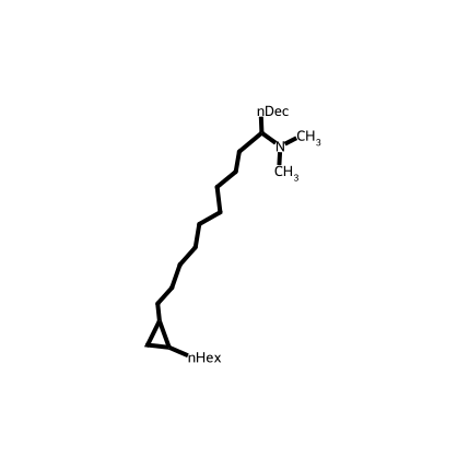 CCCCCCCCCCC(CCCCCCCCCC1CC1CCCCCC)N(C)C